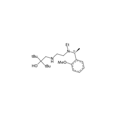 CCN(CCNCC(O)(C(C)(C)C)C(C)(C)C)[C@@H](C)c1ccccc1OC